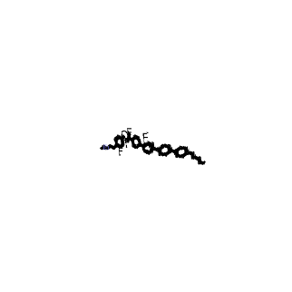 C/C=C/CCc1ccc(OC(F)(F)C2CCC(c3ccc(C4CCC(C5CCC(CCCCC)CC5)CC4)cc3F)CC2)cc1F